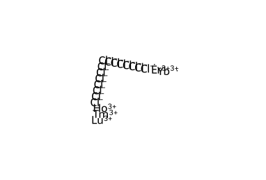 [Cl-].[Cl-].[Cl-].[Cl-].[Cl-].[Cl-].[Cl-].[Cl-].[Cl-].[Cl-].[Cl-].[Cl-].[Cl-].[Cl-].[Cl-].[Er+3].[Ho+3].[Lu+3].[Tm+3].[Yb+3]